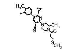 COCCC(=O)N1CCN(c2nc(C3CC3)c(-c3ccc(C)c(F)c3)cc2C#N)CC1C